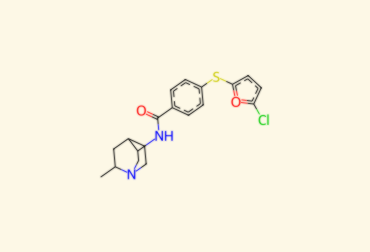 CC1CC2CCN1CC2NC(=O)c1ccc(Sc2ccc(Cl)o2)cc1